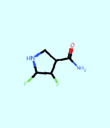 NC(=O)C1CNC(F)C1F